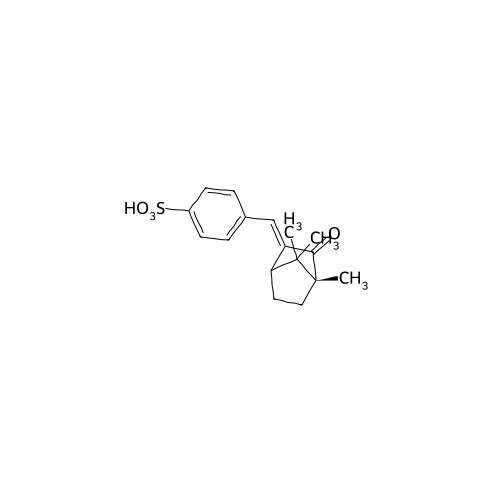 CC1(C)C2CC[C@@]1(C)C(=O)C2=Cc1ccc(S(=O)(=O)O)cc1